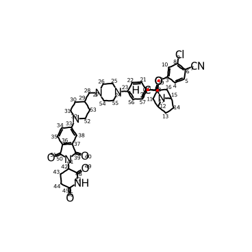 CC1(Oc2ccc(C#N)c(Cl)c2)CC2CCC(C1)N2C(=O)c1ccc(N2CCN(CC3CCN(c4ccc5c(c4)C(=O)N(C4CCC(=O)NC4=O)C5=O)CC3)CC2)cc1